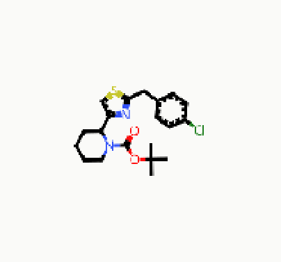 CC(C)(C)OC(=O)N1CCCCC1c1csc(Cc2ccc(Cl)cc2)n1